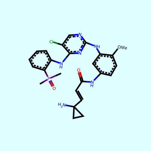 COc1ccc(NC(=O)/C=C/C2(N)CC2)cc1Nc1ncc(Cl)c(Nc2ccccc2P(C)(C)=O)n1